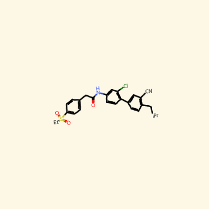 CCS(=O)(=O)c1ccc(CC(=O)Nc2ccc(-c3ccc(CC(C)C)c(C#N)c3)c(Cl)c2)cc1